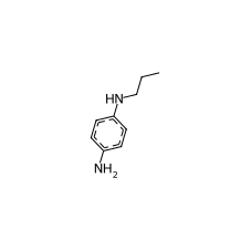 CCCNc1ccc(N)cc1